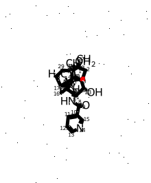 C=C1CC[C@H]2[C@@]3(CNC(=O)c4cccnc4)C[C@]3([C@@]3(C)CC[C@H](O)C[C@@H]3CO)CC[C@]12C